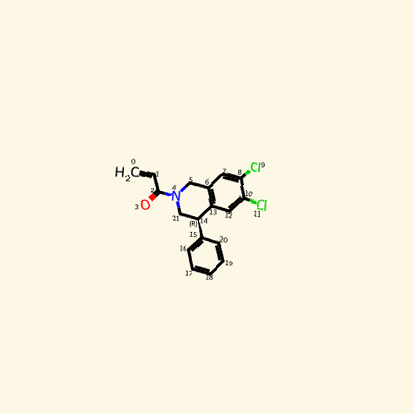 C=CC(=O)N1Cc2cc(Cl)c(Cl)cc2[C@@H](c2ccccc2)C1